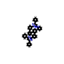 C1=C(c2ccccc2)NC(c2cccc(-c3ccccc3-c3ccccc3-c3cccc(-c4nc(-c5ccccc5)cc(-c5ccccc5)n4)c3)c2)N=C1c1ccccc1